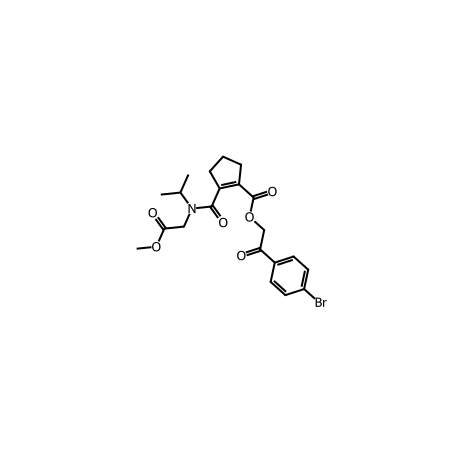 COC(=O)CN(C(=O)C1=C(C(=O)OCC(=O)c2ccc(Br)cc2)CCC1)C(C)C